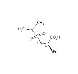 CC(C)[C@@H](NS(=O)(=O)N(C)C)C(=O)O